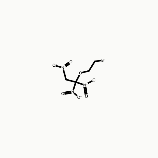 O=[N+]([O-])CC(OCCBr)([N+](=O)[O-])[N+](=O)[O-]